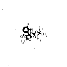 C[C@H]1OC[C@@](NC(=O)OC(C)(C)C)(c2cccc(F)c2F)[C@@H]1C=O